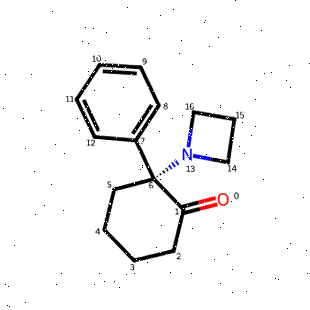 O=C1CCCC[C@]1(c1ccccc1)N1CCC1